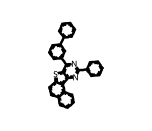 c1ccc(-c2cccc(-c3nc(-c4ccccc4)nc4c3sc3ccc5ccccc5c34)c2)cc1